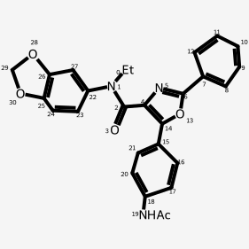 CCN(C(=O)c1nc(-c2ccccc2)oc1-c1ccc(NC(C)=O)cc1)c1ccc2c(c1)OCO2